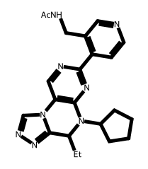 CCC1c2nncn2-c2cnc(-c3ccncc3CNC(C)=O)nc2N1C1CCCC1